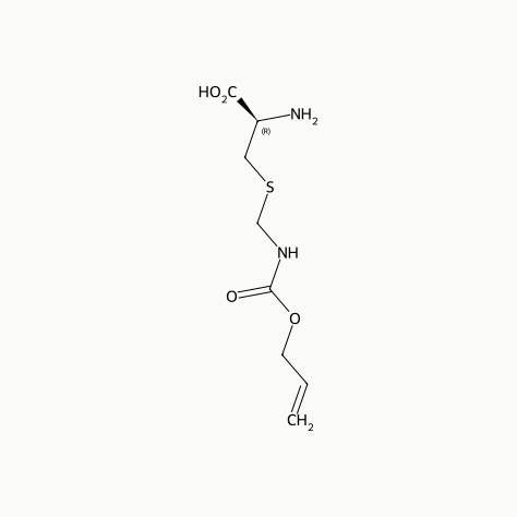 C=CCOC(=O)NCSC[C@H](N)C(=O)O